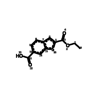 CCOC(=O)c1cc2ccc(C(=O)O)cc2s1